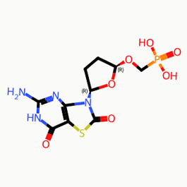 Nc1nc2c(sc(=O)n2[C@H]2CC[C@@H](OCP(=O)(O)O)O2)c(=O)[nH]1